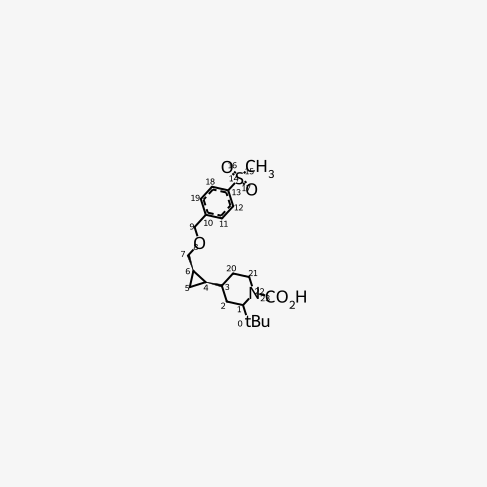 CC(C)(C)C1CC([C@H]2C[C@H]2COCc2ccc(S(C)(=O)=O)cc2)CCN1C(=O)O